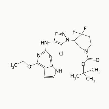 CCOc1nc(Nc2cnn(C3CN(C(=O)OC(C)(C)C)CCC3(F)F)c2Cl)nc2[nH]ccc12